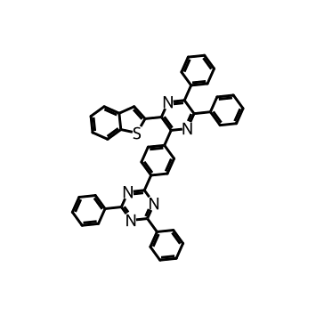 c1ccc(-c2nc(-c3ccccc3)nc(-c3ccc(-c4nc(-c5ccccc5)c(-c5ccccc5)nc4-c4cc5ccccc5s4)cc3)n2)cc1